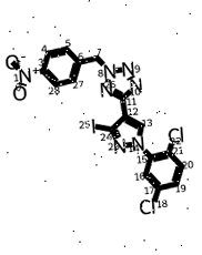 O=[N+]([O-])c1ccc(Cn2nnc(-c3cn(-c4cc(Cl)ccc4Cl)nc3I)n2)cc1